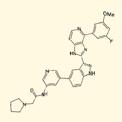 COc1cc(F)cc(-c2nccc3[nH]c(-c4n[nH]c5ccc(-c6cncc(NC(=O)CN7CCCC7)c6)cc45)nc23)c1